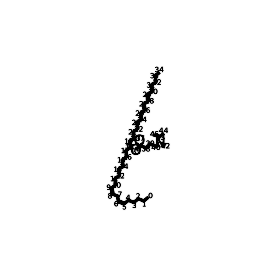 CCCCC/C=C\C/C=C\CCCCCCCCC(CCCCCCC/C=C/C=C/CCCCC)OC(=O)CCCN(C)C(C)C